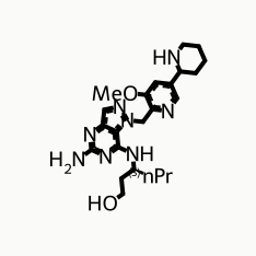 CCC[C@@H](CCO)Nc1nc(N)nc2cnn(Cc3ncc(C4CCCCN4)cc3OC)c12